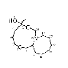 CC1(O)CCCCCC2CCCCCCN2CC1